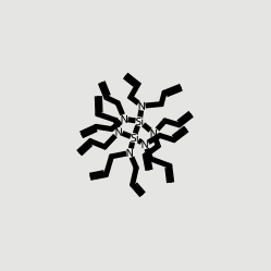 C=CCN(CC=C)[Si](N(CC=C)CC=C)(N(CC=C)CC=C)[Si](N(CC=C)CC=C)(N(CC=C)CC=C)N(CC=C)CC=C